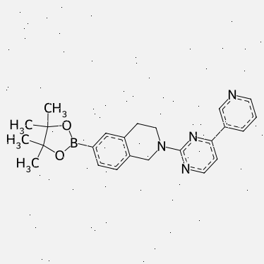 CC1(C)OB(c2ccc3c(c2)CCN(c2nccc(-c4cccnc4)n2)C3)OC1(C)C